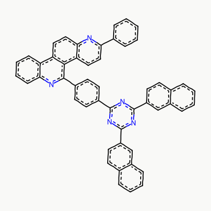 c1ccc(-c2ccc3c(ccc4c5ccccc5nc(-c5ccc(-c6nc(-c7ccc8ccccc8c7)nc(-c7ccc8ccccc8c7)n6)cc5)c34)n2)cc1